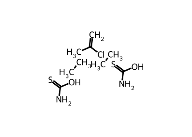 C=C(C)Cl.CC.CC.NC(O)=S.NC(O)=S